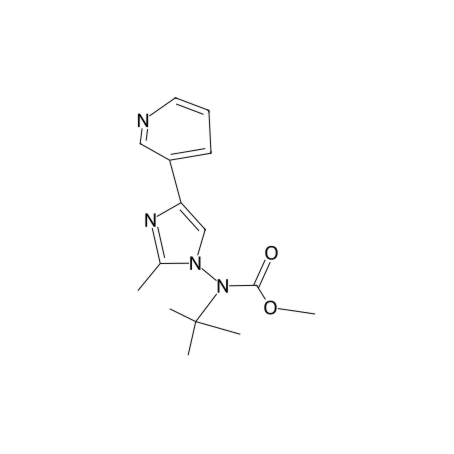 COC(=O)N(n1cc(-c2cccnc2)nc1C)C(C)(C)C